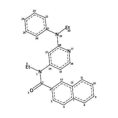 CCN(C(=O)c1ccc2ccccc2c1)c1ccnc(N(CC)c2ccccc2)c1